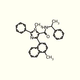 Cc1ccc(-c2nc(-c3ccccc3)n(C)c2C(=O)NC(C)c2ccccc2)c2ccccc12